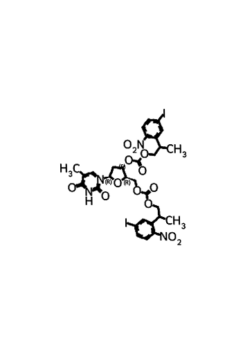 Cc1cn([C@H]2C[C@H](OC(=O)OCC(C)c3cc(I)ccc3[N+](=O)[O-])[C@@H](COC(=O)OCC(C)c3cc(I)ccc3[N+](=O)[O-])O2)c(=O)[nH]c1=O